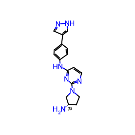 N[C@H]1CCN(c2nccc(Nc3ccc(-c4cn[nH]c4)cc3)n2)C1